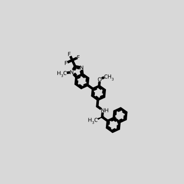 COc1ccc(CN[C@H](C)c2cccc3ccccc23)cc1-c1ccc2c(c1)nc(C(F)(F)F)n2C